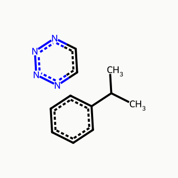 CC(C)c1ccccc1.c1cnnnn1